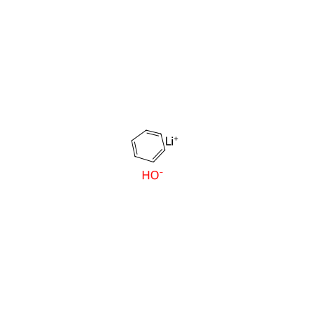 [Li+].[OH-].c1ccccc1